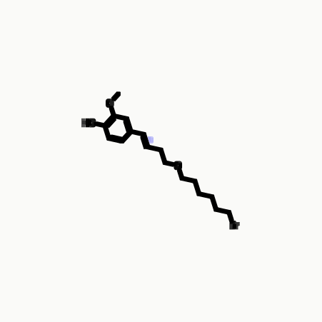 COc1cc(/C=C/CCOCCCCCCBr)ccc1O